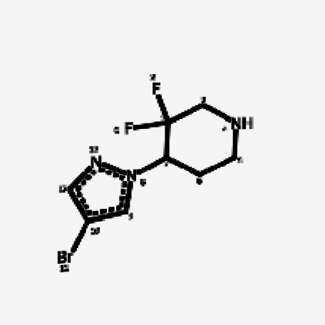 FC1(F)CNCCC1n1cc(Br)cn1